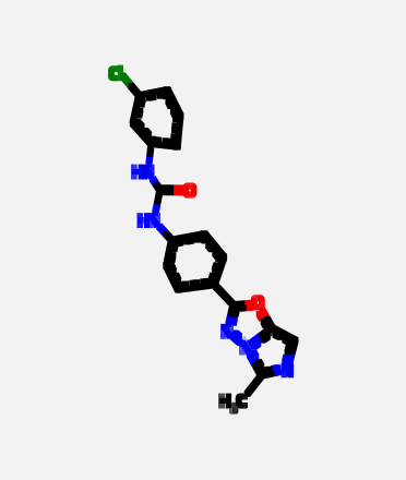 Cc1ncc2oc(-c3ccc(NC(=O)Nc4cccc(Cl)c4)cc3)nn12